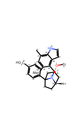 CCO[C@@H]1C[C@@H]2CCC(c3ccc(C(=O)O)cc3)(C1)N2Cc1c(OC)cc(C)c2[nH]ccc12